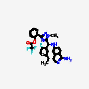 CCc1ccc(F)c(C(Nc2ccc3c(N)nccc3c2)c2nc(-c3ccccc3OC(=O)C(F)(F)F)nn2C)c1